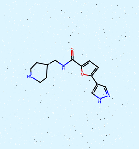 O=C(NCC1CCNCC1)c1ccc(-c2cn[nH]c2)o1